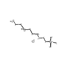 C[N+](C)(C)CCONCCNCCN.[Cl-]